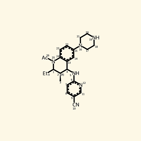 CCC1[C@H](C)C(Nc2ccc(C#N)cn2)c2cc(N3CCNCC3)ccc2N1C(C)=O